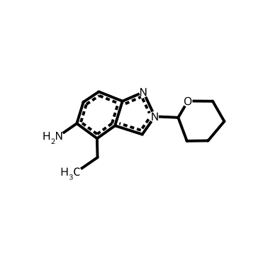 CCc1c(N)ccc2nn(C3CCCCO3)cc12